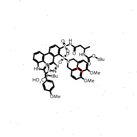 COc1ccc(CN(Cc2ccc(OC)cc2)S(=O)(=O)c2c(S(=O)(=O)NC(=O)CC(C)NC(=O)OC(C)(C)C)ccc(-c3cccc4[nH]c(N(C(=O)O)C(C)(C)C)nc34)c2-c2nnn(Cc3ccc(OC)cc3)n2)cc1